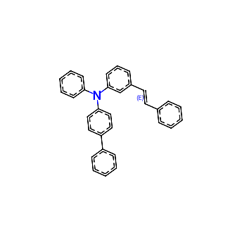 C(=C\c1cccc(N(c2ccccc2)c2ccc(-c3ccccc3)cc2)c1)/c1ccccc1